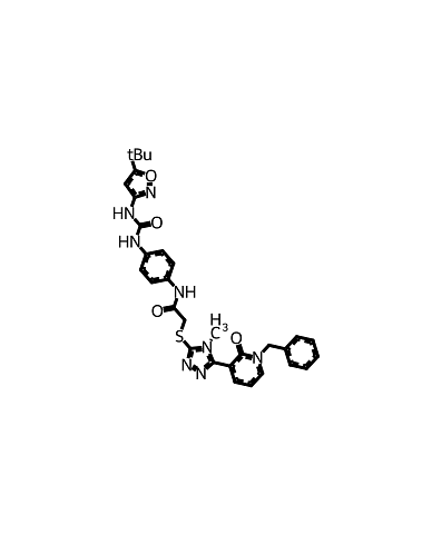 Cn1c(SCC(=O)Nc2ccc(NC(=O)Nc3cc(C(C)(C)C)on3)cc2)nnc1-c1cccn(Cc2ccccc2)c1=O